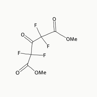 COC(=O)C(F)(F)C(=O)C(F)(F)C(=O)OC